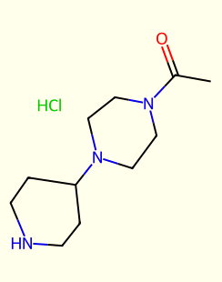 CC(=O)N1CCN(C2CCNCC2)CC1.Cl